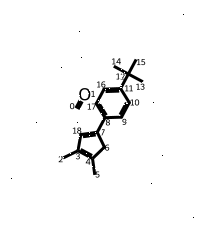 C=O.CC1=C(C)CC(c2ccc(C(C)(C)C)cc2)=C1